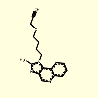 C#CCOCCCCn1c(C)nc2cnc3ccccc3c21